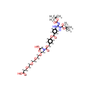 CC(C)(C)OC(=O)/N=C(/NC(=O)OC(C)(C)C)Nc1ccc(C(=O)Oc2ccc(COC(=O)N(CCOCCOCCOCCOCCC(=O)O)CC(=O)O)cc2)cc1